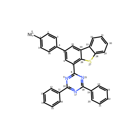 N#Cc1ccc(-c2cc(-c3nc(-c4ccccc4)nc(-c4ccccc4)n3)c3sc4ccccc4c3c2)cc1